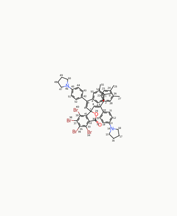 Cc1ccc(C(=CC2(C=C(c3ccc(N4CCCC4)cc3)c3ccc(C)c(C)c3)OC(=O)c3c(Br)c(Br)c(Br)c(Br)c32)c2ccc(N3CCCC3)cc2)cc1C